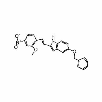 COc1cc([N+](=O)[O-])ccc1C=Cc1cc2cc(OCc3ccccc3)ccc2[nH]1